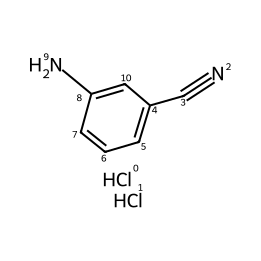 Cl.Cl.N#Cc1cccc(N)c1